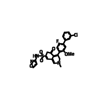 COc1cc(-c2cccc(Cl)c2)c(F)cc1C1=C2C(=O)CC(S(=O)(=O)Nc3ccon3)=CC2=CN(C)C1